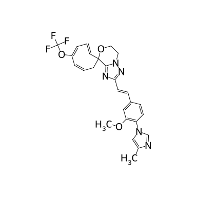 COc1cc(/C=C/c2nc3n(n2)CCOC32/C=C/C=C(OC(F)(F)F)\C=C/C2)ccc1-n1cnc(C)c1